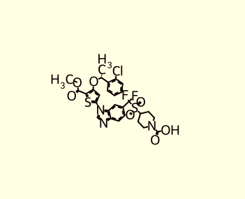 COC(=O)c1sc(-n2cnc3ccc(C(F)(F)S(=O)(=O)C4CCN(C(=O)O)CC4)cc32)cc1O[C@H](C)c1ccccc1Cl